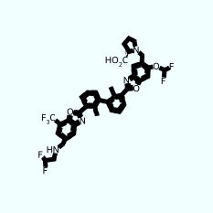 Cc1c(-c2nc3cc(CN4CCC[C@H]4C(=O)O)c(OC(F)F)cc3o2)cccc1-c1cccc(-c2nc3cc(CNCC(F)F)cc(C(F)(F)F)c3o2)c1C